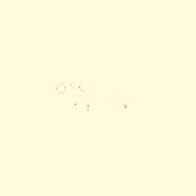 CC(C)C[C@H](N)C(=O)O.NC(CCCCCCCCCNC(=O)OCc1ccccc1)C(=O)O